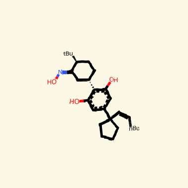 CCCC/C=C\C1(c2cc(O)c([C@H]3CC[C@H](C(C)(C)C)C(=NO)C3)c(O)c2)CCCC1